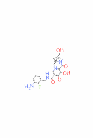 CN1C(=O)c2c(O)c(=O)c(C(=O)NCc3cccc(N)c3F)cn2C[C@]12C[C@H]2CO